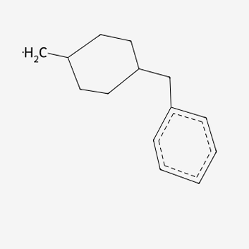 [CH2]C1CCC(Cc2ccccc2)CC1